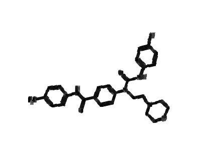 O=C(Nc1ccc(C(F)(F)F)cc1)c1ccc(N(CCN2CCOCC2)C(=O)Nc2ccc(Cl)cc2)cc1